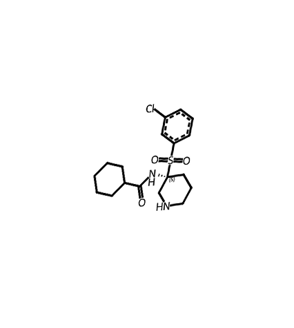 O=C(N[C@]1(S(=O)(=O)c2cccc(Cl)c2)CCCNC1)C1CCCCC1